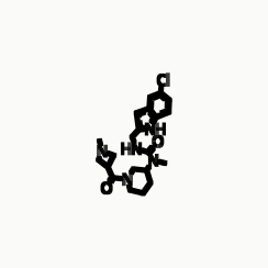 CN1CC(C(=O)N2CCCC(N(C)C(=O)NCc3cc4cc(Cl)ccc4[nH]3)C2)C1